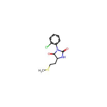 CSCCC1NC(=O)N(c2ccccc2Cl)C1=O